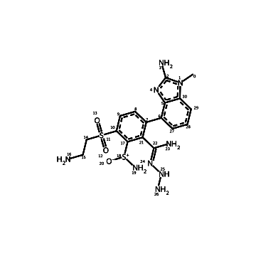 Cn1c(N)nc2c(-c3ccc(S(=O)(=O)CCN)c([S+](N)[O-])c3/C(N)=N/NN)cccc21